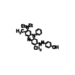 CCN(CC)c1cc2c(cc1C)nc1cc(C)c(/N=N/c3ccc(O)cc3)cc1[n+]2-c1ccccc1